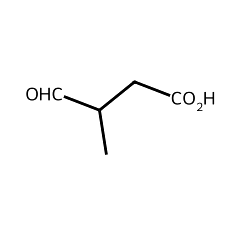 CC(C=O)CC(=O)O